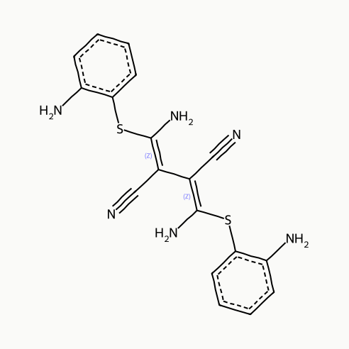 N#CC(=C(/N)Sc1ccccc1N)/C(C#N)=C(\N)Sc1ccccc1N